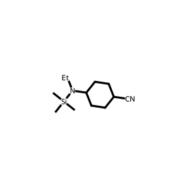 CCN(C1CCC(C#N)CC1)[Si](C)(C)C